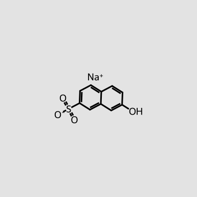 O=S(=O)([O-])c1ccc2ccc(O)cc2c1.[Na+]